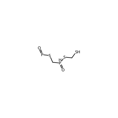 O=PSC[PH](=O)SCS